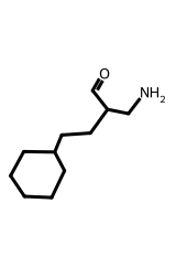 NCC(C=O)CCC1CCCCC1